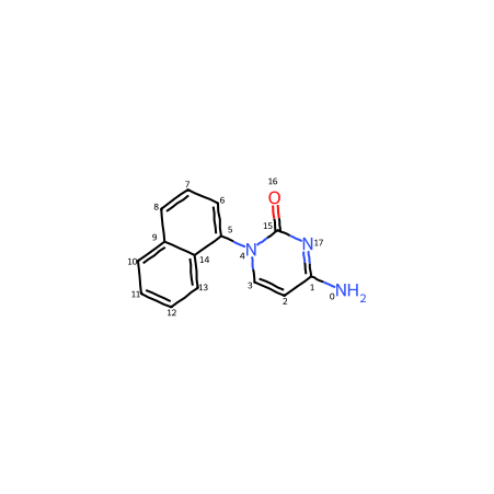 Nc1ccn(-c2cccc3ccccc23)c(=O)n1